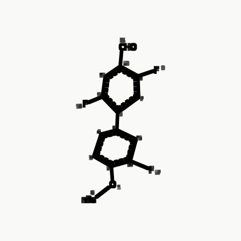 CCCCOc1ccc(-c2cc(F)c(C=O)cc2F)cc1F